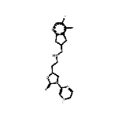 Cc1c(F)cnc2c1CC(CNCCC1CN(C3=CNCC=N3)C(=O)O1)C2